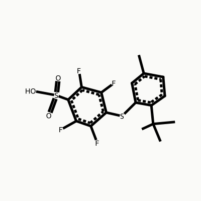 Cc1ccc(C(C)(C)C)c(Sc2c(F)c(F)c(S(=O)(=O)O)c(F)c2F)c1